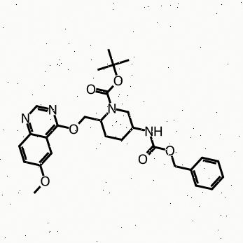 COc1ccc2ncnc(OCC3CCC(NC(=O)OCc4ccccc4)CN3C(=O)OC(C)(C)C)c2c1